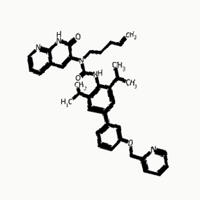 C=CCCCN(C(=O)Nc1c(C(C)C)cc(-c2cccc(OCc3ccccn3)c2)cc1C(C)C)c1cc2cccnc2[nH]c1=O